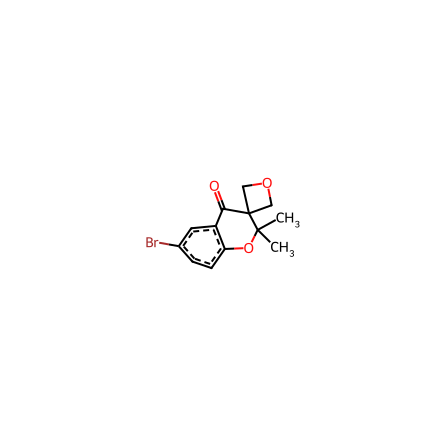 CC1(C)Oc2ccc(Br)cc2C(=O)C12COC2